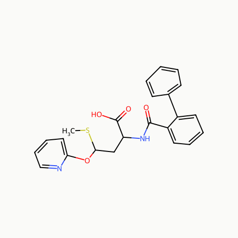 CSC(CC(NC(=O)c1ccccc1-c1ccccc1)C(=O)O)Oc1ccccn1